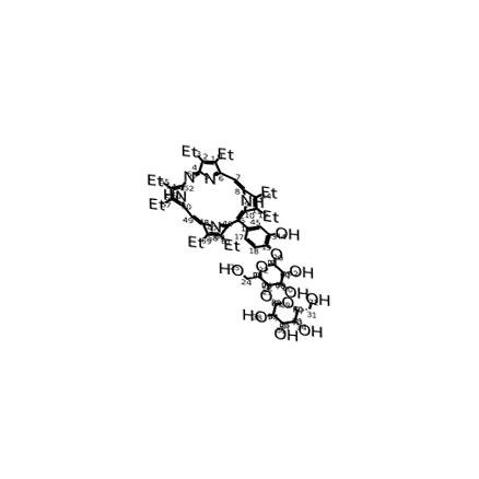 CCC1=C(CC)c2nc1cc1[nH]c(c(CC)c1CC)c(-c1ccc(O[C@@H]3O[C@H](CO)[C@H](O[C@@H]4O[C@H](CO)[C@H](O)[C@H](O)[C@H]4O)[C@H](O)[C@H]3O)c(O)c1)c1nc(cc3[nH]c(n2)c(CC)c3CC)C(CC)=C1CC